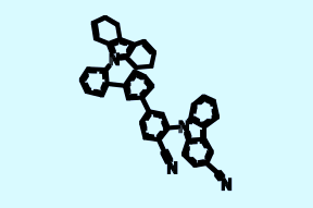 N#Cc1ccc2c(c1)c1ccccc1n2-c1cc(-c2cccc(-c3ccccc3-n3c4c(c5c3CCC=C5)CCC=C4)c2)ccc1C#N